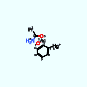 CC(=O)[O-].CC(C)C(N)=O.[Hg+][c]1ccccc1